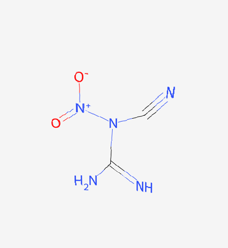 N#CN(C(=N)N)[N+](=O)[O-]